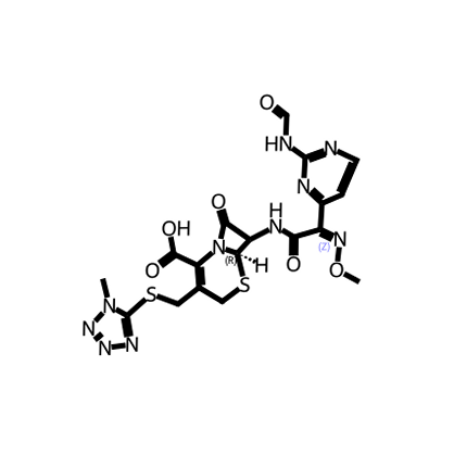 CO/N=C(\C(=O)NC1C(=O)N2C(C(=O)O)=C(CSc3nnnn3C)CS[C@H]12)c1ccnc(NC=O)n1